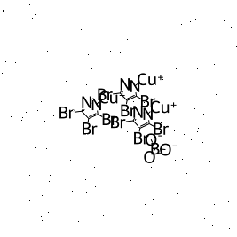 [Cu+][n]1nc(Br)c(Br)c1Br.[Cu+][n]1nc(Br)c(Br)c1Br.[Cu+][n]1nc(Br)c(Br)c1Br.[O-]B([O-])[O-]